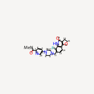 CNC(=O)c1ccc(N2CCN(Cc3ccc4c5c(c(=O)[nH]c4c3F)CCO5)CC2)cn1